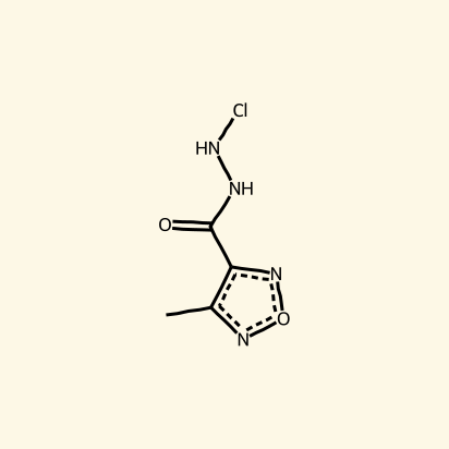 Cc1nonc1C(=O)NNCl